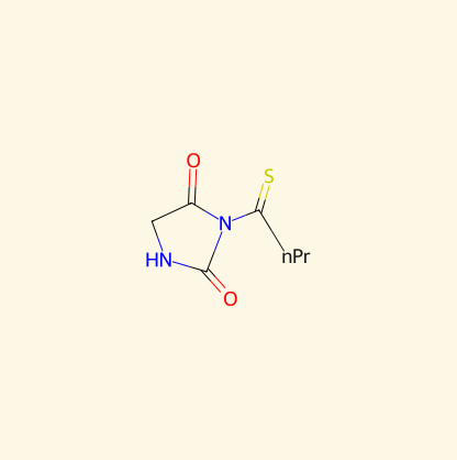 CCCC(=S)N1C(=O)CNC1=O